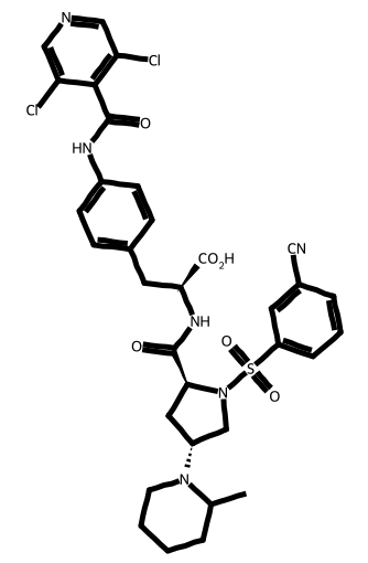 CC1CCCCN1[C@@H]1C[C@@H](C(=O)N[C@@H](Cc2ccc(NC(=O)c3c(Cl)cncc3Cl)cc2)C(=O)O)N(S(=O)(=O)c2cccc(C#N)c2)C1